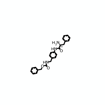 N[C@@H](Cc1ccccc1)C(=O)Nc1ccc(CNC(=O)OCc2ccccc2)cc1